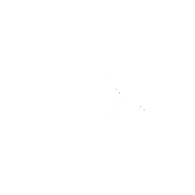 CSC1C(N)C(=O)N1C(C(=O)OS(=O)(=O)c1ccc(C)cc1)=C(C)C